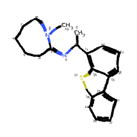 CC(N=C1CCCCCN1C)c1cccc2c1sc1ccccc12